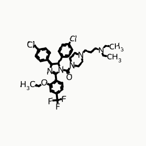 CCOc1cc(C(F)(F)F)ccc1C1=NC(c2ccc(Cl)cc2)C(c2ccc(Cl)cc2)N1C(=O)N1CCN(CCCN(CC)CC)CC1